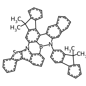 CC1(C)c2ccccc2-c2ccc(N3B4c5c(cc6c(c5-c5cc7ccccc7cc53)-c3ccccc3C6(C)C)-n3c5sc6ccccc6c5c5cccc4c53)cc21